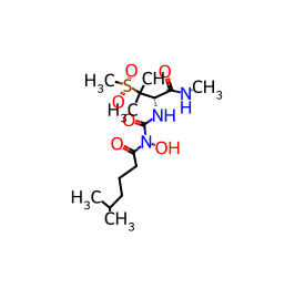 CNC(=O)[C@H](NC(=O)N(O)C(=O)CCCC(C)C)C(C)(C)S(C)(=O)=O